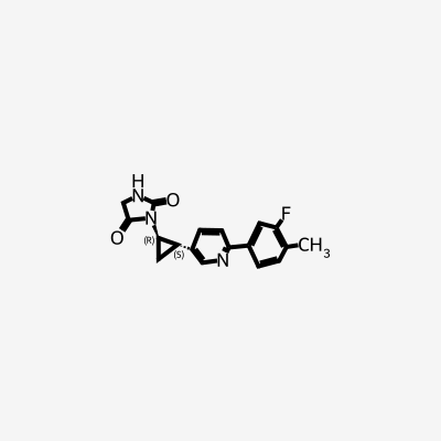 Cc1ccc(-c2ccc([C@@H]3C[C@H]3N3C(=O)CNC3=O)cn2)cc1F